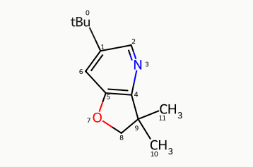 CC(C)(C)c1cnc2c(c1)OCC2(C)C